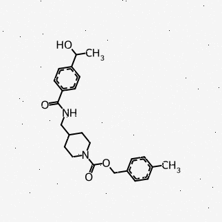 Cc1ccc(COC(=O)N2CCC(CNC(=O)c3ccc(C(C)O)cc3)CC2)cc1